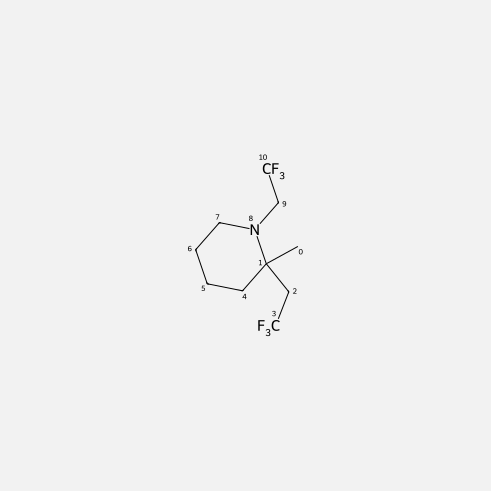 CC1(CC(F)(F)F)CCCCN1CC(F)(F)F